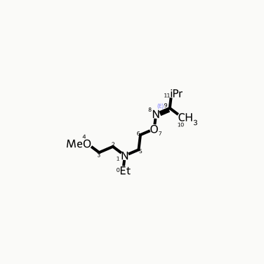 CCN(CCOC)CCO/N=C(\C)C(C)C